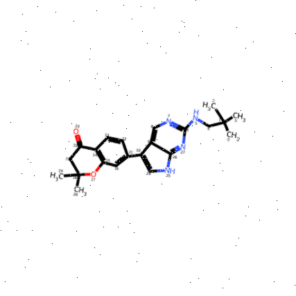 CC(C)(C)CNc1ncc2c(-c3ccc4c(c3)OC(C)(C)CC4=O)c[nH]c2n1